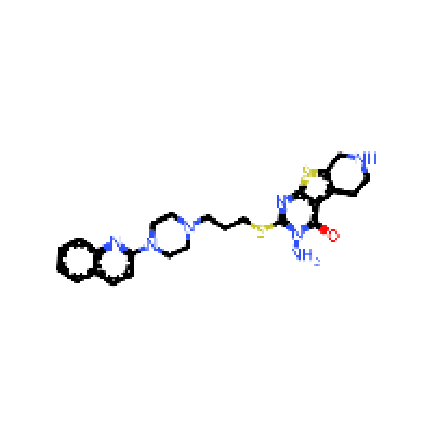 Nn1c(SCCCN2CCN(c3ccc4ccccc4n3)CC2)nc2sc3c(c2c1=O)CCNC3